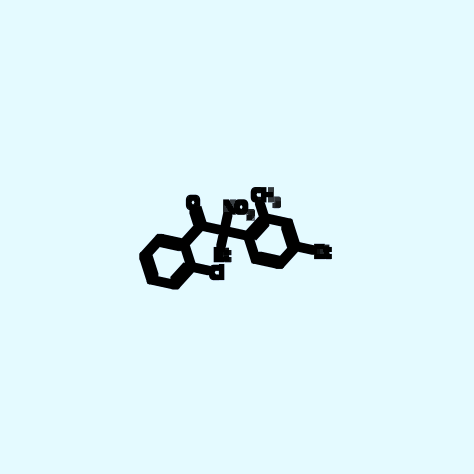 CCc1ccc(C(CC)(C(=O)c2ccccc2Cl)[N+](=O)[O-])c(C)c1